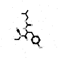 CCN(C#N)C(=O)C(Cc1ccc(O)cc1)NC(=O)OCC(C)C